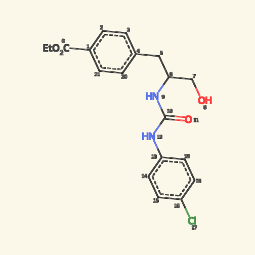 CCOC(=O)c1ccc(CC(CO)NC(=O)Nc2ccc(Cl)cc2)cc1